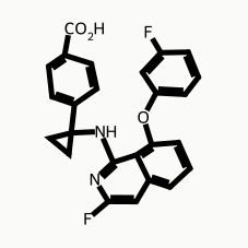 O=C(O)c1ccc(C2(Nc3nc(F)cc4cccc(Oc5cccc(F)c5)c34)CC2)cc1